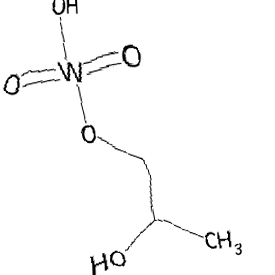 CC(O)C[O][W](=[O])(=[O])[OH]